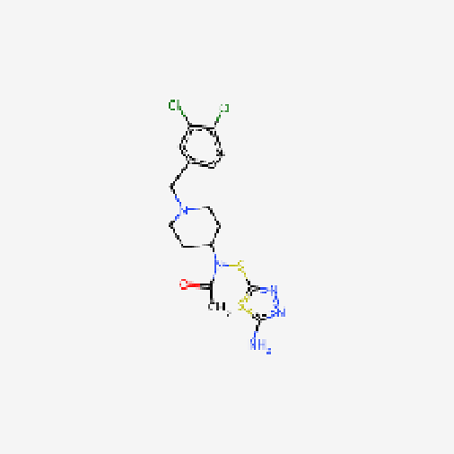 CC(=O)N(Sc1nnc(N)s1)C1CCN(Cc2ccc(Cl)c(Cl)c2)CC1